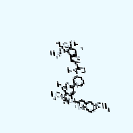 C=C(/C=C(/Nc1cc2n(n1)CCN(C)C2)C(=O)N(C)C)N1CCC[C@@H](NC(=O)c2cc3c(s2)CC(C)(C)C3OC)C1